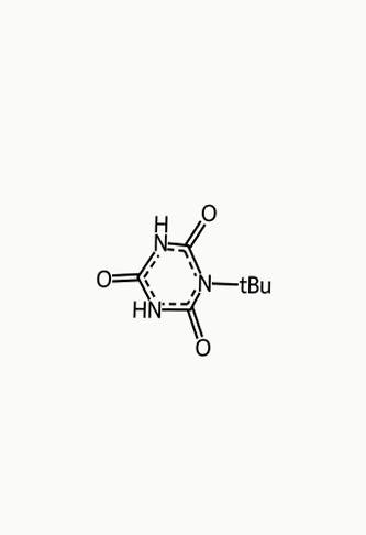 CC(C)(C)n1c(=O)[nH]c(=O)[nH]c1=O